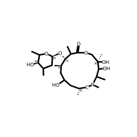 CC1C[C@H](O[C@@H]2C(C)C(=O)OC[C@@](C)(O)C(O)C(C)N(C)C[C@H](C)CC(O)C[C@H]2C)OC(C)[C@@H]1O